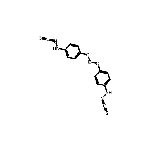 S=C=NNc1ccc(OBOc2ccc(NN=C=S)cc2)cc1